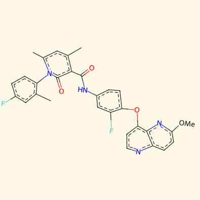 COc1ccc2nccc(Oc3ccc(NC(=O)c4c(C)cc(C)n(-c5ccc(F)cc5C)c4=O)cc3F)c2n1